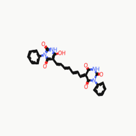 O=C1NC(=O)N(c2ccccc2)C(=O)C1=CC=CC=CC=Cc1c(O)[nH]c(=O)n(-c2ccccc2)c1=O